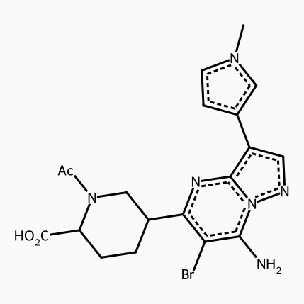 CC(=O)N1CC(c2nc3c(-c4ccn(C)c4)cnn3c(N)c2Br)CCC1C(=O)O